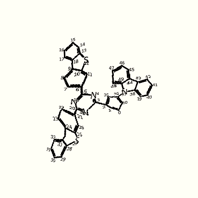 c1cc(-c2nc(-c3ccc4c(c3)sc3ccccc34)nc(-c3ccc4c(c3)sc3ccccc34)n2)cc(-n2c3ccccc3c3ccccc32)c1